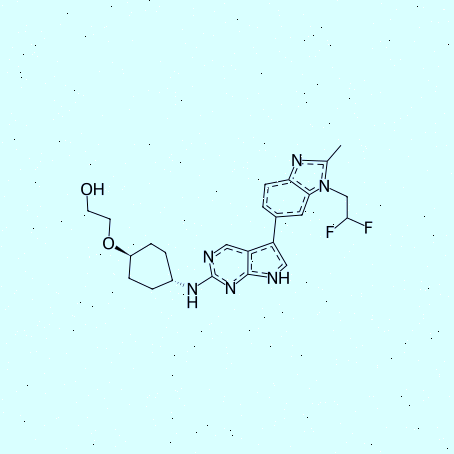 Cc1nc2ccc(-c3c[nH]c4nc(N[C@H]5CC[C@H](OCCO)CC5)ncc34)cc2n1CC(F)F